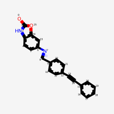 O=c1[nH]c2ccc(/N=C/c3ccc(C#Cc4ccccc4)cc3)cc2o1